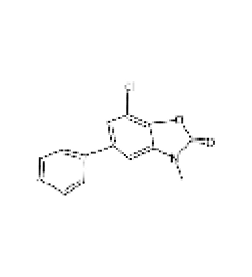 Cn1c(=O)oc2c(Cl)cc(-c3cc[c]cc3)cc21